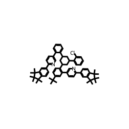 CC(C)(C)c1ccc(C2CC(c3ccccc3Cl)CC(c3ccccc3-c3ccc(-c4ccc5c(c4)C(C)(C)C(C)(C)C5(C)C)nc3)C2)c(-c2ccc(-c3ccc4c(c3)C(C)(C)C(C)(C)C4(C)C)nc2)c1